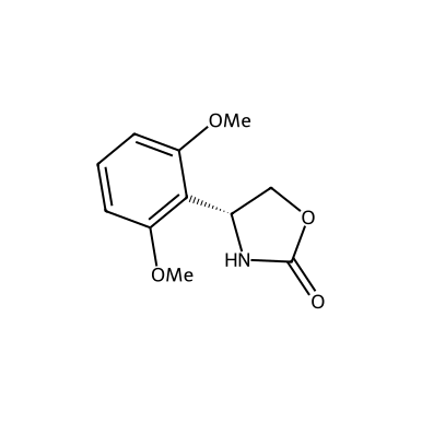 COc1cccc(OC)c1[C@@H]1COC(=O)N1